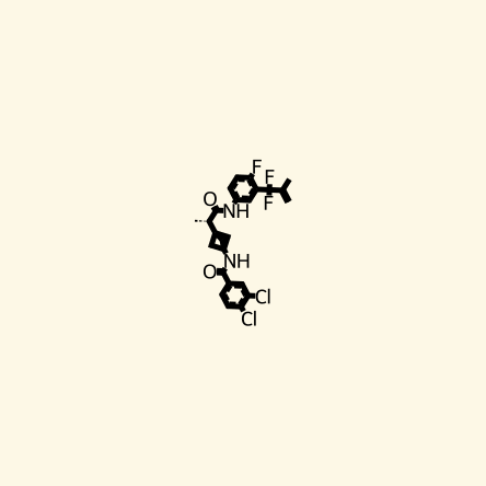 C=C(C)C(F)(F)c1cc(NC(=O)[C@@H](C)C23CC(NC(=O)c4ccc(Cl)c(Cl)c4)(C2)C3)ccc1F